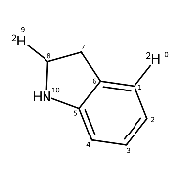 [2H]c1cccc2c1CC([2H])N2